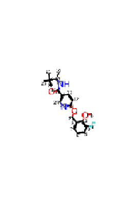 COc1c(F)cccc1COc1ccc(C(=O)N[C@H](C)C(C)(C)C)cn1